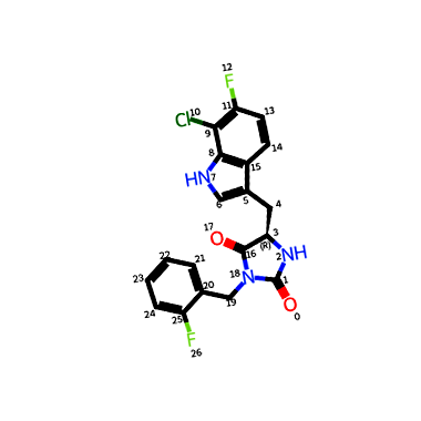 O=C1N[C@H](Cc2c[nH]c3c(Cl)c(F)ccc23)C(=O)N1Cc1ccccc1F